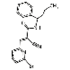 CCCC(NC(=O)/C(C#N)=C/c1cccc(Br)n1)c1ccccc1